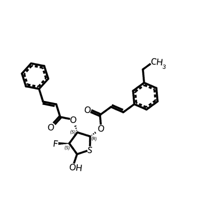 CCc1cccc(C=CC(=O)O[C@@H]2SC(O)[C@@H](F)[C@@H]2OC(=O)C=Cc2ccccc2)c1